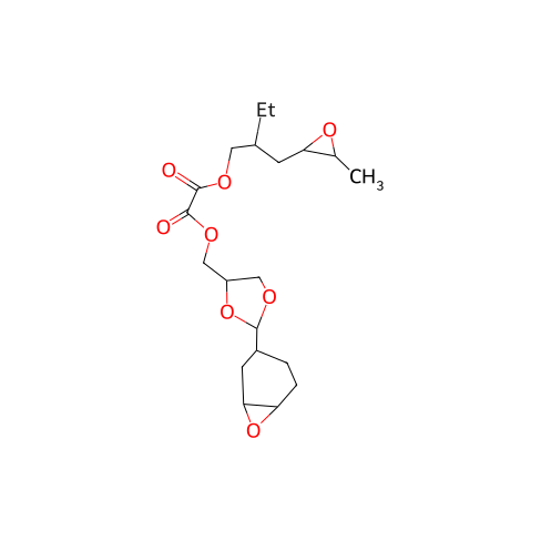 CCC(COC(=O)C(=O)OCC1COC(C2CCC3OC3C2)O1)CC1OC1C